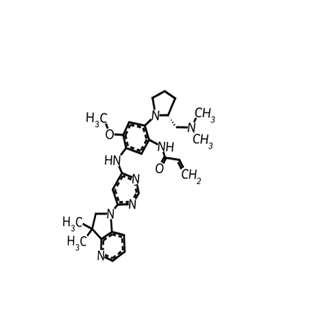 C=CC(=O)Nc1cc(Nc2cc(N3CC(C)(C)c4ncccc43)ncn2)c(OC)cc1N1CCC[C@@H]1CN(C)C